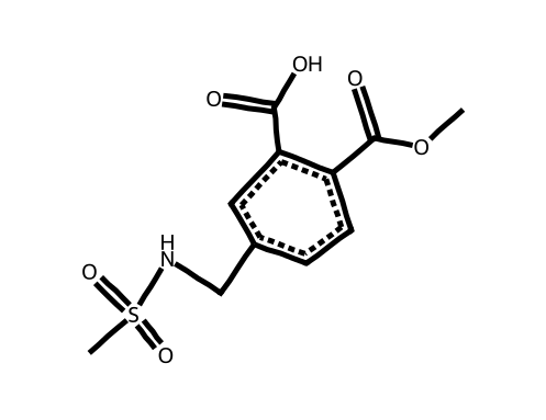 COC(=O)c1ccc(CNS(C)(=O)=O)cc1C(=O)O